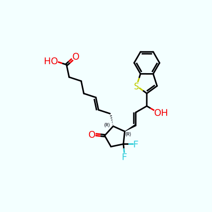 O=C(O)CCCC=CC[C@H]1C(=O)CC(F)(F)[C@@H]1C=CC(O)c1cc2ccccc2s1